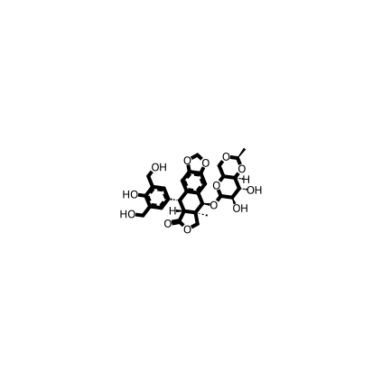 C[C@@H]1OCC2OC(O[C@@H]3c4cc5c(cc4[C@@H](c4cc(CO)c(O)c(CO)c4)[C@H]4C(=O)OC[C@]34C)OCO5)[C@H](O)[C@@H](O)[C@@H]2O1